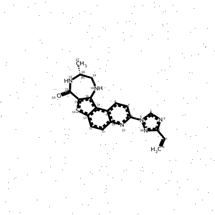 C=Cc1ncn(-c2ccc3c(ccc4sc5c(c43)NC[C@@H](C)NC5=O)n2)n1